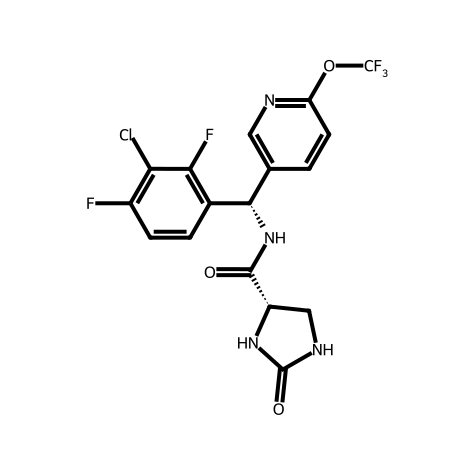 O=C1NC[C@@H](C(=O)N[C@@H](c2ccc(OC(F)(F)F)nc2)c2ccc(F)c(Cl)c2F)N1